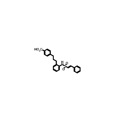 O=C(O)c1ccc(CCCc2ccccc2NS(=O)(=O)/C=C/c2ccccc2)cc1